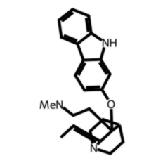 CC=C1N2CCC(CC2)C1(CCNC)Oc1ccc2c(c1)[nH]c1ccccc12